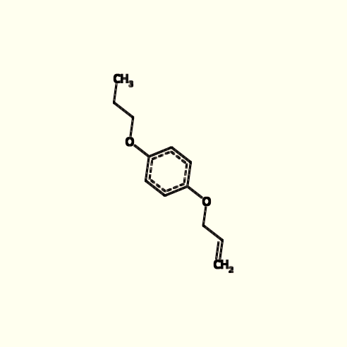 C=CCOc1ccc(OCCC)cc1